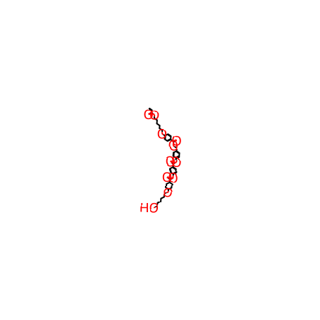 C=CC(=O)OCCCCCCOc1ccc(C(=O)OCc2ccc(OC(=O)c3ccc(OC(=O)C4CCC(OCCCCCCO)CC4)cc3)cc2)cc1